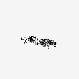 C[C@@H]1C[C@H](CCO[C@H]2CC[C@H](N3C(=S)N(c4ccc(C#N)c(C(F)(F)F)c4)C(=O)C3(C)C)CC2)C[C@H](C)N1CC(=O)Nc1cccc2c(N3CCC(=O)NC3=O)nn(C)c12